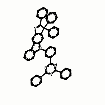 c1ccc(C2=Nc3cc4c5ccccc5n(-c5cccc(-c6nc(-c7ccccc7)nc(-c7ccccc7)n6)c5)c4cc3C2(c2ccccc2)c2ccccc2)cc1